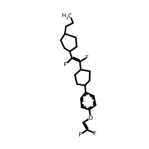 CCCC1CCC(/C(F)=C(\F)C2CCC(c3ccc(OC=C(F)F)cc3)CC2)CC1